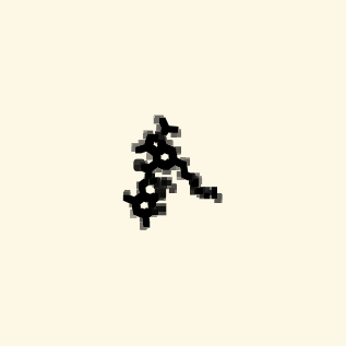 Cc1cc(C)c(CN(N)C(=O)c2cc(CCN=NN)cc3c2c(C)cn3C(C)C)c(=O)[nH]1